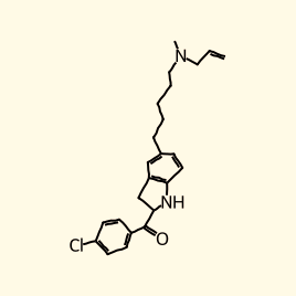 C=CCN(C)CCCCCc1ccc2c(c1)CC(C(=O)c1ccc(Cl)cc1)N2